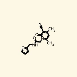 Cc1cc(C)n(CC(=O)NCc2ccco2)c(=O)c1C#N